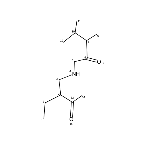 CCC(CNCC(=O)C(C)C(C)C)C(C)=O